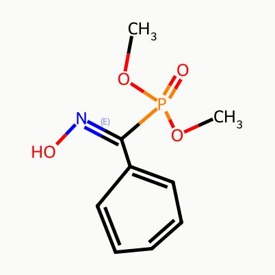 COP(=O)(OC)/C(=N/O)c1ccccc1